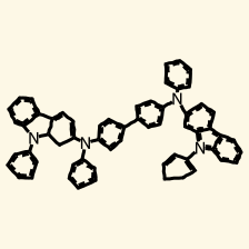 C1=CC(n2c3ccccc3c3ccc(N(c4ccccc4)c4ccc(-c5ccc(N(C6=CC=C7c8ccccc8N(c8ccccc8)C7C6)c6ccccc6)cc5)cc4)cc32)=CCC1